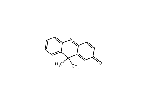 CC1(C)C2=CC(=O)C=CC2=Nc2ccccc21